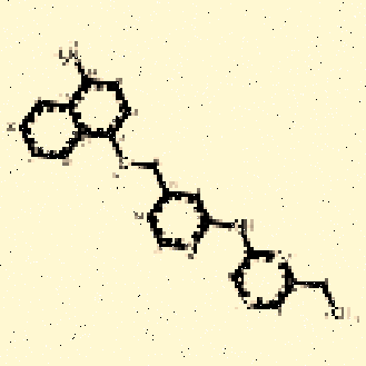 CCc1cncc(Nc2cc(COc3ccc(N)c4ccccc34)ccn2)n1